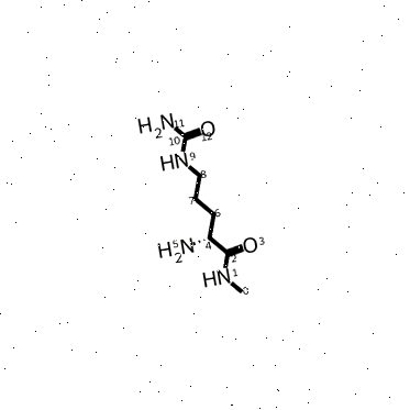 CNC(=O)[C@H](N)CCCNC(N)=O